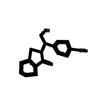 COc1ccc(C(CO)N2Cc3ccccc3C2=O)cc1